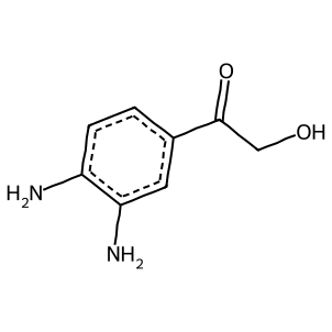 Nc1ccc(C(=O)CO)cc1N